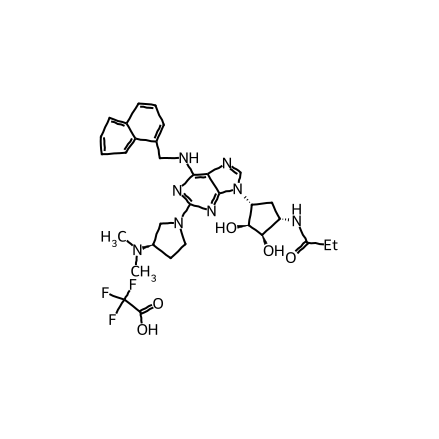 CCC(=O)N[C@H]1C[C@@H](n2cnc3c(NCc4cccc5ccccc45)nc(N4CC[C@@H](N(C)C)C4)nc32)[C@H](O)[C@@H]1O.O=C(O)C(F)(F)F